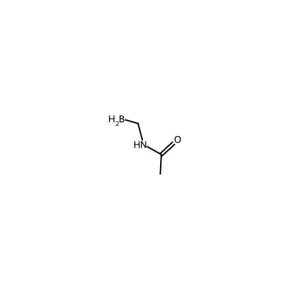 BCNC(C)=O